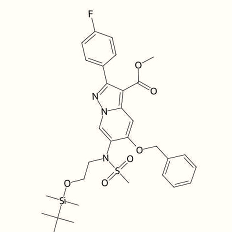 COC(=O)c1c(-c2ccc(F)cc2)nn2cc(N(CCO[Si](C)(C)C(C)(C)C)S(C)(=O)=O)c(OCc3ccccc3)cc12